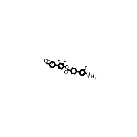 CCC1CCC(c2ccc(OC(=O)C3CCC(c4ccc(OC)c(F)c4)CC3)c(F)c2F)CC1